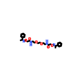 C/C(=N/OCC(=O)NCCOCCOCCNC(=O)CO/N=C(\C)c1ccccc1)c1ccccc1